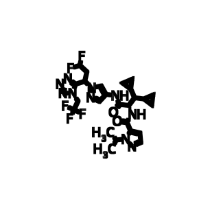 CC(C)n1nccc1C(=O)N[C@H](C(=O)Nc1cnn(C(CC(F)F)c2nnnn2CC(F)(F)F)c1)C(C1CC1)C1CC1